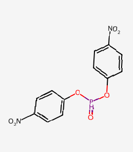 O=[N+]([O-])c1ccc(O[PH](=O)Oc2ccc([N+](=O)[O-])cc2)cc1